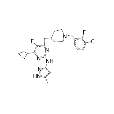 Cc1cc(Nc2nc(CC3CCN(Cc4cccc(Cl)c4F)CC3)c(F)c(C3CCC3)n2)n[nH]1